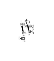 CCN.CN.Cl.Cl